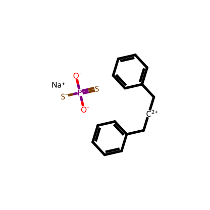 [C+2](Cc1ccccc1)Cc1ccccc1.[Na+].[O-]P([O-])(=S)[S-]